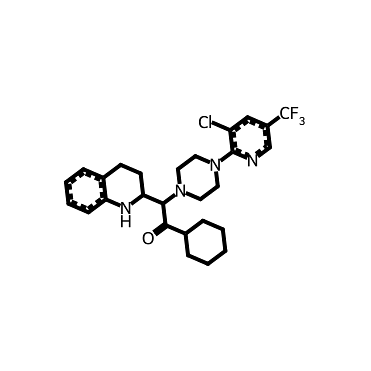 O=C(C1CCCCC1)C(C1CCc2ccccc2N1)N1CCN(c2ncc(C(F)(F)F)cc2Cl)CC1